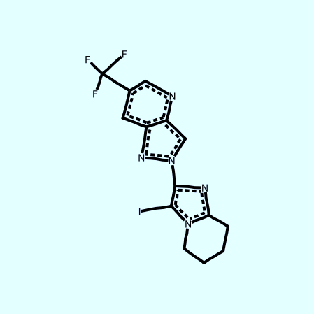 FC(F)(F)c1cnc2cn(-c3nc4n(c3I)CCCC4)nc2c1